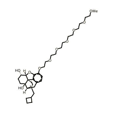 COCCOCCOCCOCCOCCOCCOc1ccc2c3c1O[C@H]1[C@@H](O)CC[C@@]4(O)[C@@H](C2)N(CC2CCC2)CC[C@]314